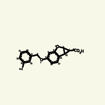 O=C(O)C1C2Oc3cc(OCc4cccc(I)c4)ccc3C21